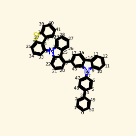 c1ccc(-c2ccc(-n3c4ccccc4c4ccc(-c5cccc6c5c5ccccc5n6-c5cccc6sc7ccccc7c56)cc43)cc2)cc1